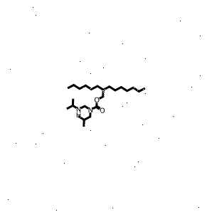 CCCCCCCC(CCCCCC)COC(=O)N(CNC(C)C)CC(C)C